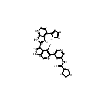 O=C(Nc1cncc(-c2ncc3[nH]nc(-c4nc5c(-c6cccs6)ccnc5[nH]4)c3c2F)c1)C1CCCC1